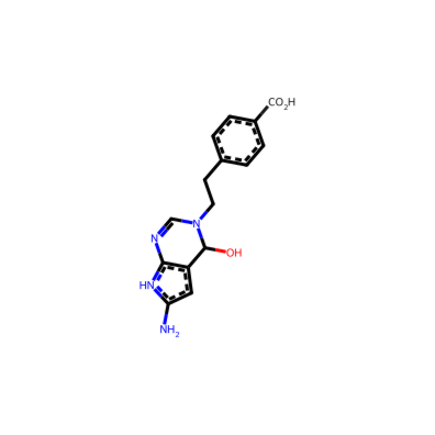 Nc1cc2c([nH]1)N=CN(CCc1ccc(C(=O)O)cc1)C2O